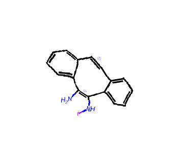 N/C1=C(\NI)c2ccccc2/C=C\c2ccccc21